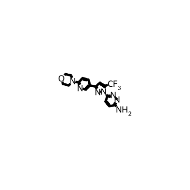 Nc1ccc(-n2nc(-c3ccc(N4CCOCC4)nc3)cc2C(F)(F)F)nn1